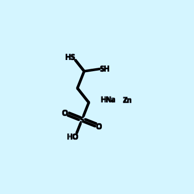 O=S(=O)(O)CCC(S)S.[NaH].[Zn]